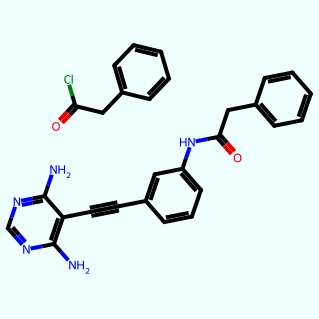 Nc1ncnc(N)c1C#Cc1cccc(NC(=O)Cc2ccccc2)c1.O=C(Cl)Cc1ccccc1